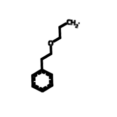 [CH2]CCOCCc1ccccc1